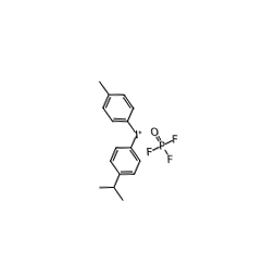 Cc1ccc([I+]c2ccc(C(C)C)cc2)cc1.O=P(F)(F)F